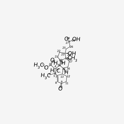 COC(=O)C1C(C)C2=CC(=O)CC[C@]2(C)[C@H]2CC[C@@]3(C)[C@@H](CC[C@]3(O)CCC(=O)O)[C@H]12